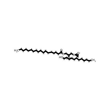 C1CO1.CCCCCCCCCCCCCCCCCC(=O)OCC(O)CO.CCCCCCCCCCCCO